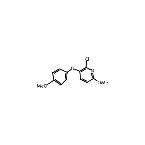 COc1ccc(Oc2ccc(OC)nc2Cl)cc1